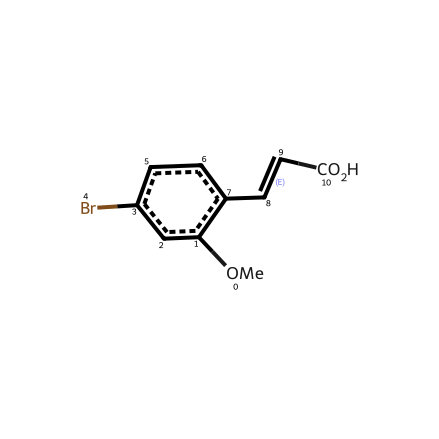 COc1cc(Br)ccc1/C=C/C(=O)O